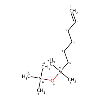 C=CCCCC[Si](C)(C)O[Si](C)(C)C